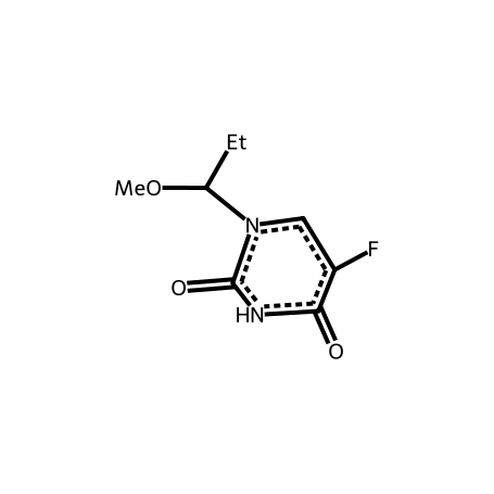 CCC(OC)n1cc(F)c(=O)[nH]c1=O